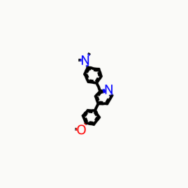 COc1ccc(-c2ccnc(-c3ccc(N(C)C)cc3)c2)cc1